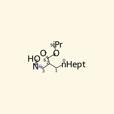 CCCCCCCCC(/C=N\O)C(=O)OC(C)C